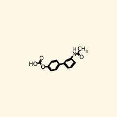 CC(=O)Nc1cccc(-c2ccc(OC(=O)O)cc2)c1